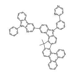 CC1(C)c2ccc3c4ccccc4c4ccccc4c3c2-c2ccc3c(c21)c1cc(-c2cnc4c(c2)c2ccccc2n4-c2ccccc2)ccc1n3-c1cccc(-c2ccncn2)c1